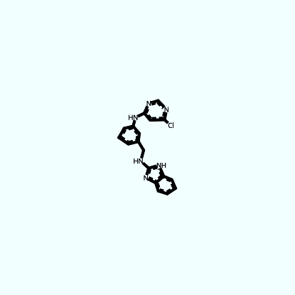 Clc1cc(Nc2cccc(CNc3nc4ccccc4[nH]3)c2)ncn1